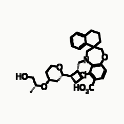 C[C@H](CO)O[C@H]1CCO[C@H]([C@@H]2CC[C@H]2CN2CC3(CCCc4ccccc43)COc3ccc(C(=O)O)c(Cl)c32)C1